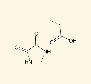 CCC(=O)O.O=C1NCNC1=O